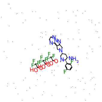 CN1C[C@H](N2Cc3nn4nccnc4c3C2)C[C@H](N)[C@H]1c1cc(F)ccc1F.O=C(O)C(F)(F)F.O=C(O)C(F)(F)F.O=C(O)C(F)(F)F